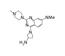 CNc1ccc2c(N3CCC(N)C3)nc(N3CCN(C)CC3)nc2c1